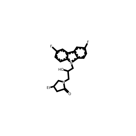 CCC1CC(=O)N(CC(O)Cn2c3ccc(F)cc3c3cc(F)ccc32)C1